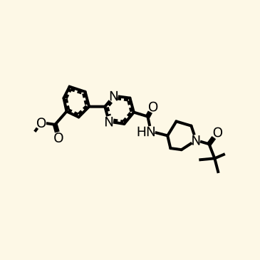 COC(=O)c1cccc(-c2ncc(C(=O)NC3CCN(C(=O)C(C)(C)C)CC3)cn2)c1